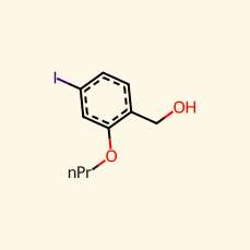 CCCOc1cc(I)ccc1CO